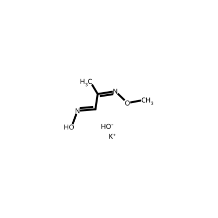 CON=C(C)C=NO.[K+].[OH-]